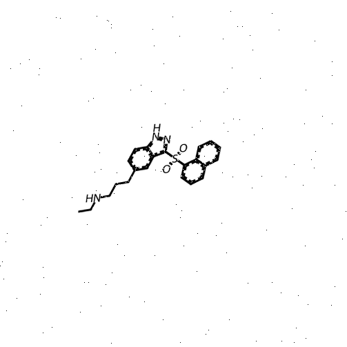 CCNCCCc1ccc2[nH]nc(S(=O)(=O)c3cccc4ccccc34)c2c1